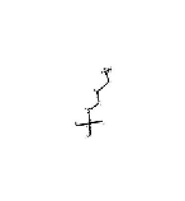 CC(C)(C)SCCCS